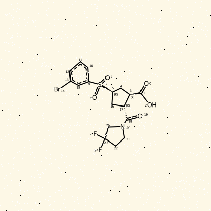 O=C(O)[C@@H]1C[C@H](S(=O)(=O)c2cccc(Br)c2)C[C@H]1C(=O)N1CCC(F)(F)C1